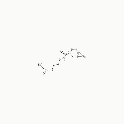 CCC1OC1CCCCOC(=O)C1CCC2OC2C1